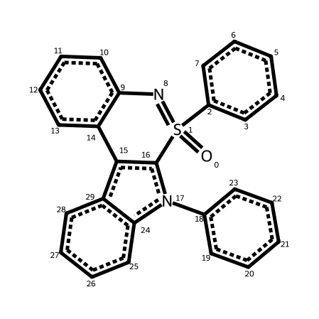 O=S1(c2ccccc2)=Nc2ccccc2-c2c1n(-c1ccccc1)c1ccccc21